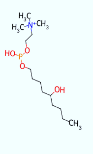 CCCCC(O)CCCCOP(O)OCC[N+](C)(C)C